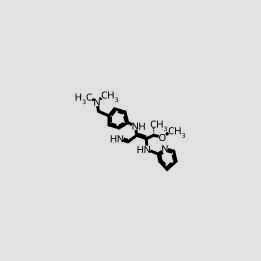 CO[C@@H](C)/C(Nc1ccccn1)=C(/C=N)Nc1ccc(CN(C)C)cc1